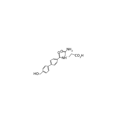 NC(=O)[C@H](CCC(=O)O)NC(=O)c1ccc(-c2ccc(CO)cc2)cc1